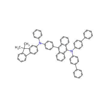 CC1(C)c2ccccc2-c2ccc(N(c3ccccc3)c3ccc(-c4c5ccccc5c(N(c5ccc(-c6ccccc6)cc5)c5ccc(-c6ccccc6)cc5)c5ccccc45)cc3)cc21